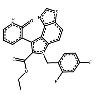 CCOC(=O)c1c(-c2ccc[nH]c2=O)c2c3ncsc3ccc2n1Cc1ccc(F)cc1F